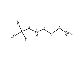 FC(F)(F)CNCCC[SiH3]